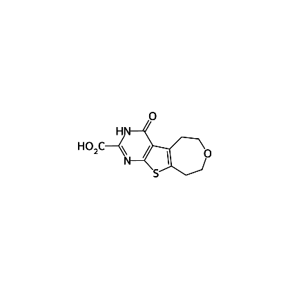 O=C(O)c1nc2sc3c(c2c(=O)[nH]1)CCOCC3